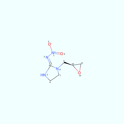 O=[N+]([O-])N=C1NCCN1C[C@H]1CO1